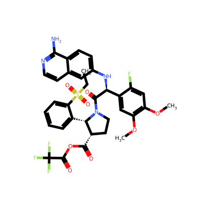 CCS(=O)(=O)c1ccccc1[C@H]1[C@@H](C(=O)OC(=O)C(F)(F)F)CCN1C(=O)[C@@H](Nc1ccc2c(N)nccc2c1)c1cc(OC)c(OC)cc1F